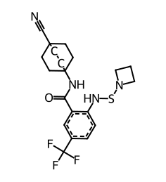 N#CC12CCC(NC(=O)c3cc(C(F)(F)F)ccc3NSN3CCC3)(CC1)CC2